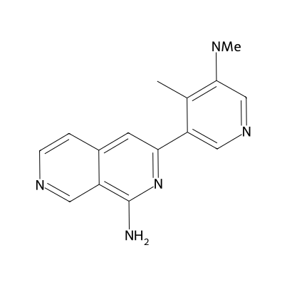 CNc1cncc(-c2cc3ccncc3c(N)n2)c1C